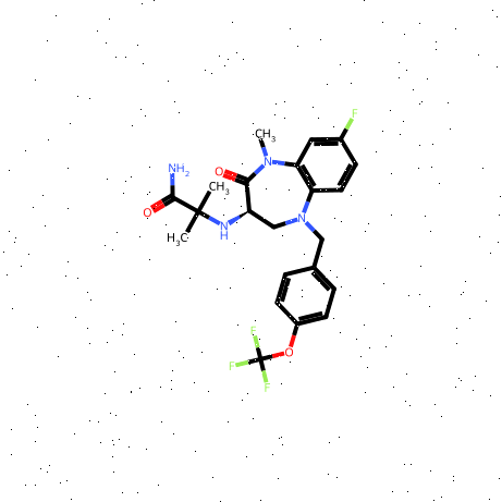 CN1C(=O)[C@H](NC(C)(C)C(N)=O)CN(Cc2ccc(OC(F)(F)F)cc2)c2ccc(F)cc21